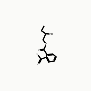 CCC(O)COC(=O)c1ccccc1C(=O)O